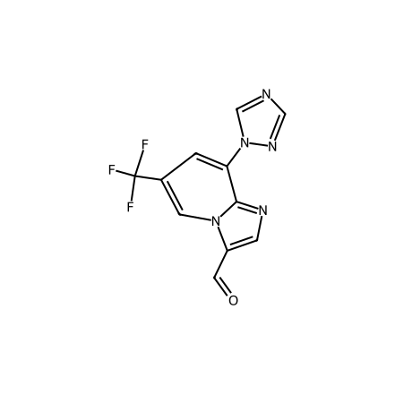 O=Cc1cnc2c(-n3cncn3)cc(C(F)(F)F)cn12